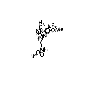 COc1cc2nc(NCCCCNC(=O)OC(C)C)c3nnc(C)n3c2cc1C(F)(F)F